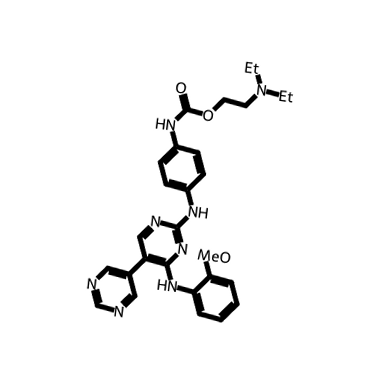 CCN(CC)CCOC(=O)Nc1ccc(Nc2ncc(-c3cncnc3)c(Nc3ccccc3OC)n2)cc1